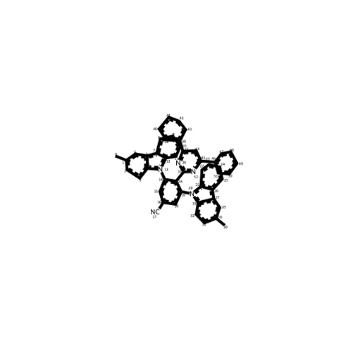 Cc1ccc2c(c1)c1ccccc1n2-c1cc(C#N)cc(-n2c3ccccc3c3cc(C)ccc32)c1-c1nc(-c2ccccc2)cc(-c2ccccc2)n1